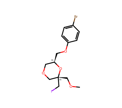 COC[C@@]1(CI)COC[C@@H](COc2ccc(Br)cc2)O1